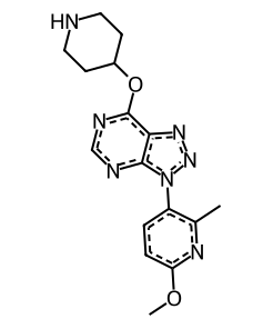 COc1ccc(-n2nnc3c(OC4CCNCC4)ncnc32)c(C)n1